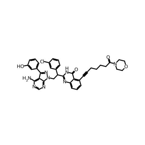 Nc1ncnc2c1c(-c1cccc(O)c1)nn2CC(c1cccc(Cl)c1)c1nc2cccc(C#CCCCCC(=O)N3CCOCC3)c2c(=O)[nH]1